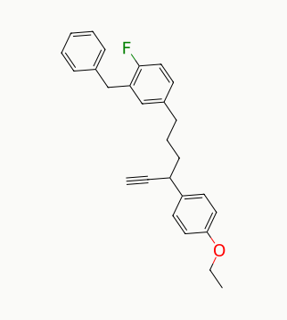 C#CC(CCCc1ccc(F)c(Cc2ccccc2)c1)c1ccc(OCC)cc1